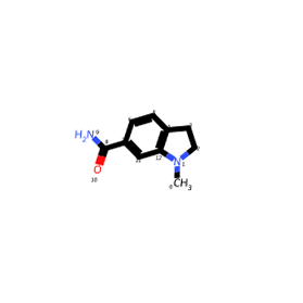 CN1CCc2ccc(C(N)=O)cc21